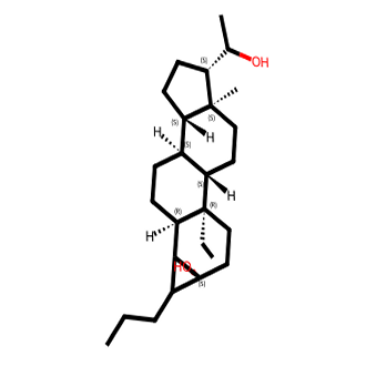 CCCC1C2[C@H]3CC[C@H]4[C@@H]5CC[C@H](C(C)O)[C@@]5(C)CC[C@@H]4[C@@]3(CC)CC[C@]12O